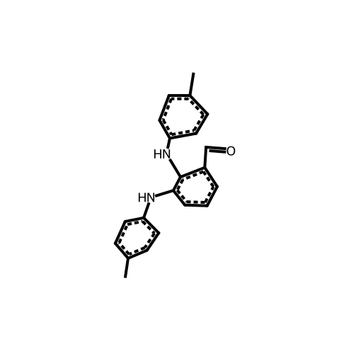 Cc1ccc(Nc2cccc(C=O)c2Nc2ccc(C)cc2)cc1